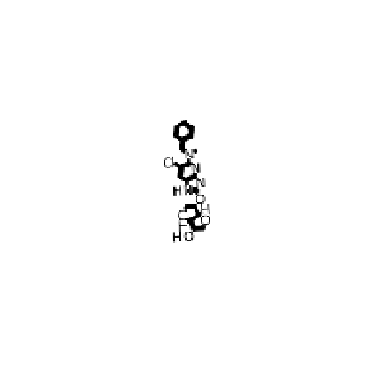 CN(Cc1ccccc1)c1nc2nc(O[C@@H]3CO[C@H]4[C@@H]3OC[C@H]4O)[nH]c2cc1Cl